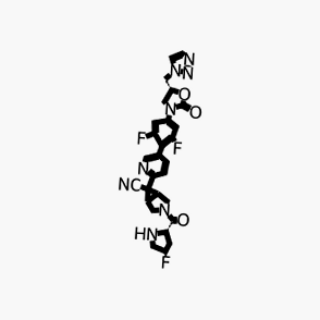 N#CC1(c2ccc(-c3c(F)cc(N4C[C@H](Cn5ccnn5)OC4=O)cc3F)cn2)C2CN(C(=O)[C@@H]3C[C@H](F)CN3)CC21